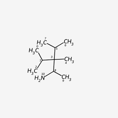 CC(C)C(C)(C(C)C)C(C)N